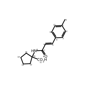 Cc1ccc(/C=C/C(=O)NC2(C(=O)O)CCCC2)cc1